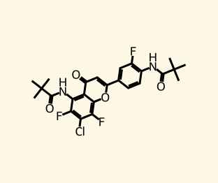 CC(C)(C)C(=O)Nc1ccc(-c2cc(=O)c3c(NC(=O)C(C)(C)C)c(F)c(Cl)c(F)c3o2)cc1F